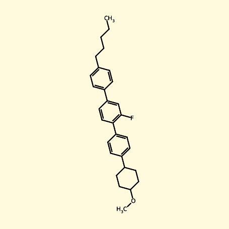 CCCCCc1ccc(-c2ccc(-c3ccc(C4CCC(OC)CC4)cc3)c(F)c2)cc1